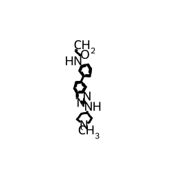 C=CC(=O)Nc1cccc(-c2ccc3cnc(NC4CCN(C)CC4)nc3c2)c1